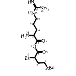 CCC(CCC(C)(C)C)C(=O)OC(=O)C(N)CCCNC(=N)N